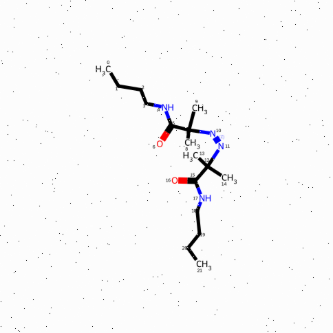 CCCCNC(=O)C(C)(C)/N=N\C(C)(C)C(=O)NCCCC